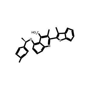 Cc1ccc([C@@H](C)Oc2cccc3nc(-c4sc5ccccc5c4C)c(C)c(C(=O)O)c23)cc1